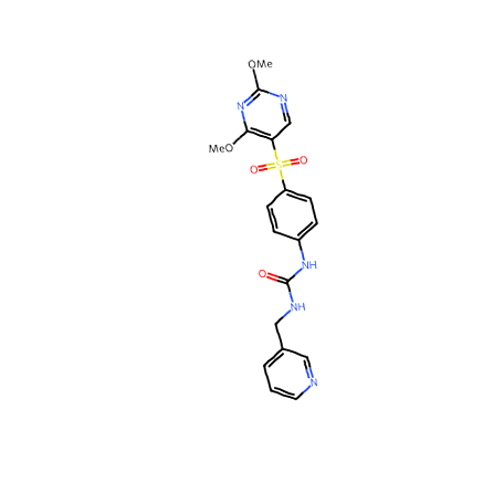 COc1ncc(S(=O)(=O)c2ccc(NC(=O)NCc3cccnc3)cc2)c(OC)n1